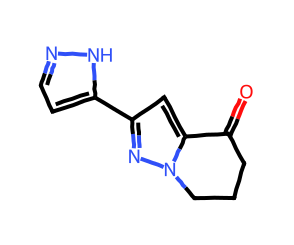 O=C1CCCn2nc(-c3ccn[nH]3)cc21